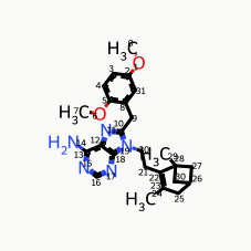 COc1ccc(OC)c(Cc2nc3c(N)ncnc3n2CCC2=C(C)CC3CC2(C)C3)c1